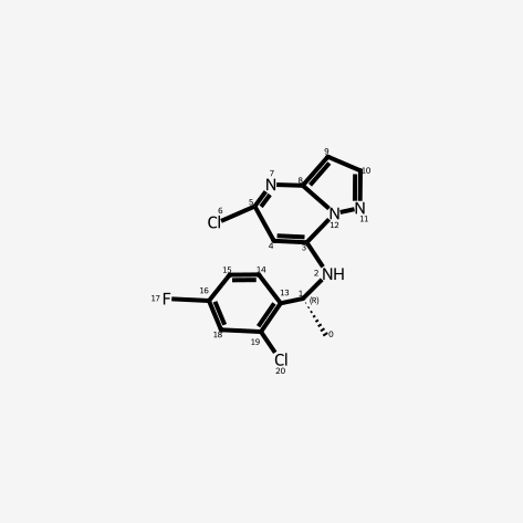 C[C@@H](Nc1cc(Cl)nc2ccnn12)c1ccc(F)cc1Cl